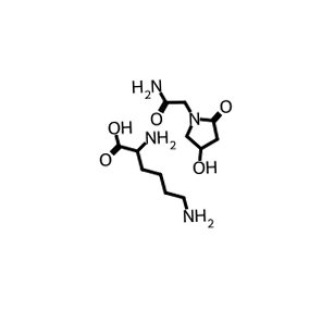 NC(=O)CN1CC(O)CC1=O.NCCCCC(N)C(=O)O